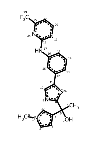 Cn1ccc(C(C)(O)c2ncc(-c3cccc(Nc4nccc(C(F)(F)F)n4)c3)s2)c1